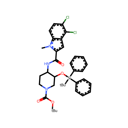 Cn1c(C(=O)NC2CCN(C(=O)OC(C)(C)C)CC2O[Si](c2ccccc2)(c2ccccc2)C(C)(C)C)cc2c(Cl)c(Cl)ccc21